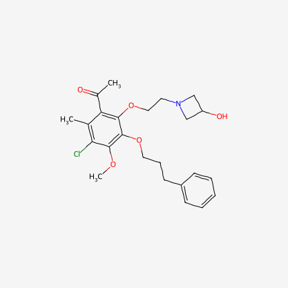 COc1c(Cl)c(C)c(C(C)=O)c(OCCN2CC(O)C2)c1OCCCc1ccccc1